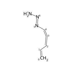 C=CC=C=CN=NN